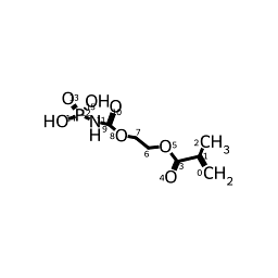 C=C(C)C(=O)OCCOC(=O)NP(=O)(O)O